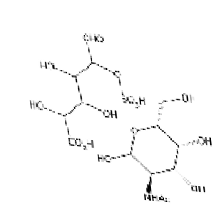 CC(=O)N[C@H]1C(O)O[C@H](CO)[C@H](O)[C@@H]1O.O=CC(OS(=O)(=O)O)C(O)C(O)C(O)C(=O)O